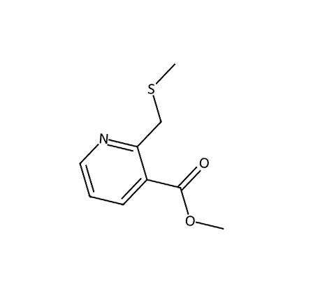 COC(=O)c1cccnc1CSC